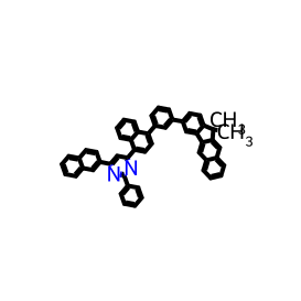 CC1(C)c2ccc(-c3cccc(-c4ccc(-c5cc(-c6ccc7ccccc7c6)nc(-c6ccccc6)n5)c5ccccc45)c3)cc2-c2cc3ccccc3cc21